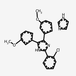 COc1cccc(-c2nc(-c3ccccc3Cl)[nH]c2-c2cccc(OC)c2)c1.c1c[nH]cn1